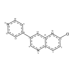 Clc1ccc2ncc(-c3ccncc3)cc2n1